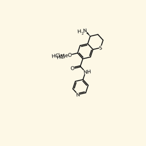 COc1cc2c(cc1C(=O)Nc1ccncc1)SCC[C@@H]2N.Cl.Cl